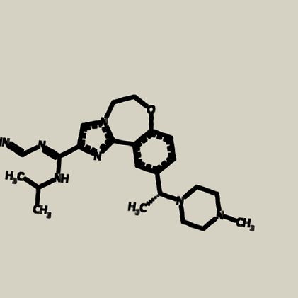 CC(C)N/C(=N\C=N)c1cn2c(n1)-c1cc([C@@H](C)N3CCN(C)CC3)ccc1OCC2